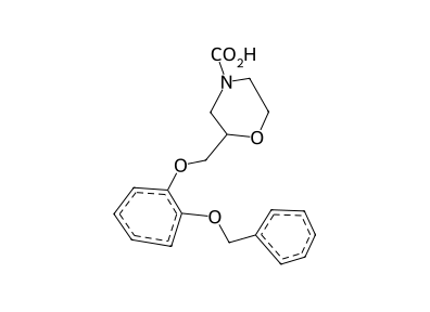 O=C(O)N1CCOC(COc2ccccc2OCc2ccccc2)C1